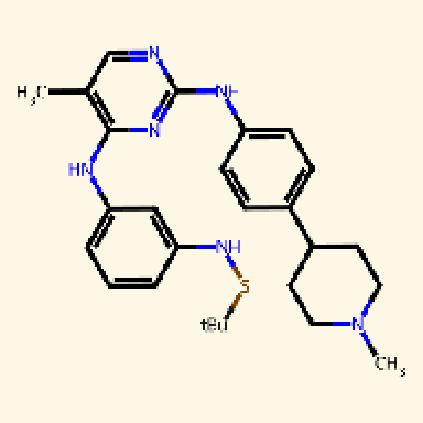 Cc1cnc(Nc2ccc(C3CCN(C)CC3)cc2)nc1Nc1cccc(NSC(C)(C)C)c1